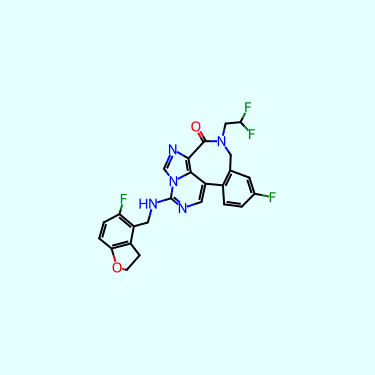 O=C1c2ncn3c(NCc4c(F)ccc5c4CCO5)ncc(c23)-c2ccc(F)cc2CN1CC(F)F